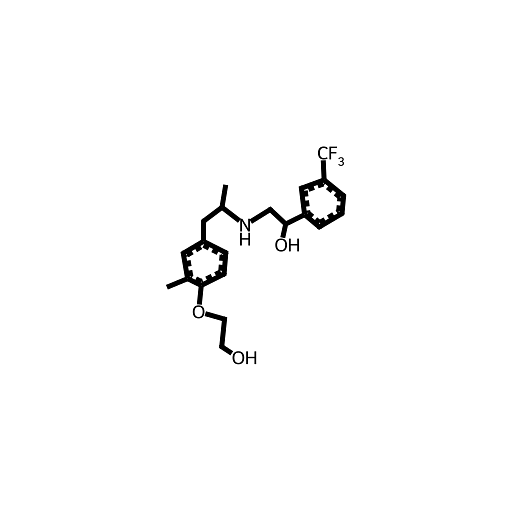 Cc1cc(CC(C)NCC(O)c2cccc(C(F)(F)F)c2)ccc1OCCO